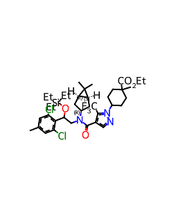 CCOC(=O)C1(C)CCC(n2ncc(C(=O)N(CC(O[Si](CC)(CC)CC)c3c(Cl)cc(C)cc3Cl)[C@H]3C[C@@H]4[C@H](C3)C4(C)C)c2C(F)(F)F)CC1